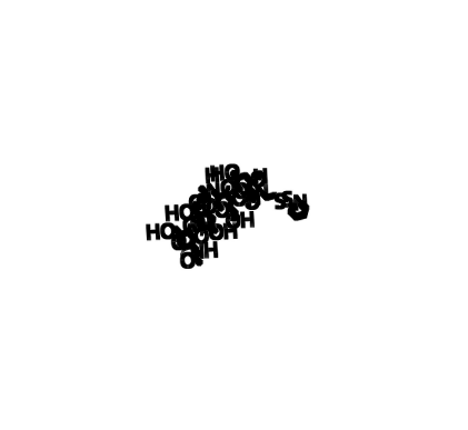 CO[C@H]1CC(O)[C@H](O[C@@H]2C(NC(C)=O)[C@H](O[C@H]3CC(O)[C@H](O[C@@H]4C(NC(C)=O)[C@H](C)OC(CO)[C@H]4O)OC3C(=O)O)OC(CO)[C@H]2O)OC1C(=O)NCCSSc1ccccn1